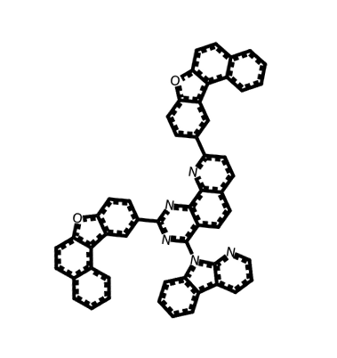 c1ccc2c(c1)ccc1oc3ccc(-c4ccc5ccc6c(-n7c8ccccc8c8cccnc87)nc(-c7ccc8oc9ccc%10ccccc%10c9c8c7)nc6c5n4)cc3c12